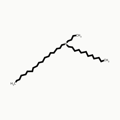 CCCCCCCCCCCCCCCCCCN(CCCC)CCCCCCCCCCCC